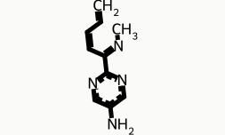 C=C/C=C\C(=N/C)c1ncc(N)cn1